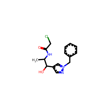 CC(NC(=O)CCl)C(O)c1cnn(Cc2ccccc2)c1